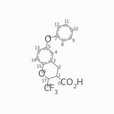 O=C(O)C1Cc2cc(Oc3ccccc3)ccc2OC1C(F)(F)F